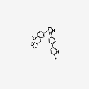 COc1ccc(-c2ccnn2-c2ccc(-c3ccc(F)nc3)cc2)cc1CC1CCOC1